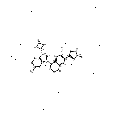 CC(=O)N1CCc2c(c(N3CCCc4cc(-c5cnn(C)c5)c(Cl)cc43)nn2C2COC2)C1